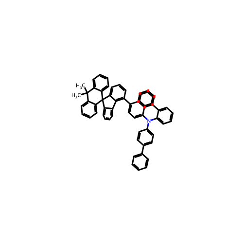 CC1(C)c2ccccc2C2(c3ccccc3-c3c(-c4ccc(N(c5ccc(-c6ccccc6)cc5)c5ccccc5-c5ccccc5)c5ccccc45)cccc32)c2ccccc21